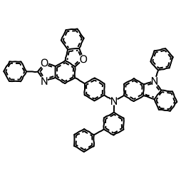 c1ccc(-c2cccc(N(c3ccc(-c4cc5nc(-c6ccccc6)oc5c5c4oc4ccccc45)cc3)c3ccc4c(c3)c3ccccc3n4-c3ccccc3)c2)cc1